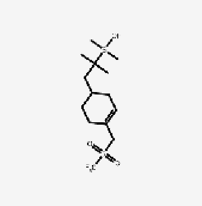 CC(C)(CC1CC=C(CS(=O)(=O)C(F)(F)F)CC1)[Si](C)(C)O